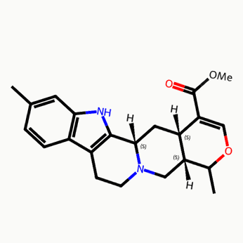 COC(=O)C1=COC(C)[C@@H]2CN3CCc4c([nH]c5cc(C)ccc45)[C@@H]3C[C@H]12